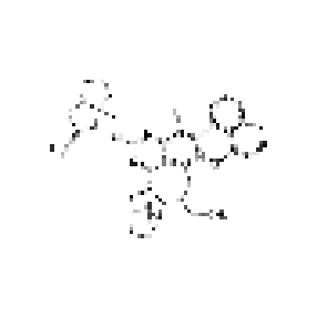 C=C1CN2CCCC2(COc2nc3c4c(nc(-c5cccc6cccc(Cl)c56)c(F)c4n2)OC(CC)C2C4CCC(CN32)N4)C1